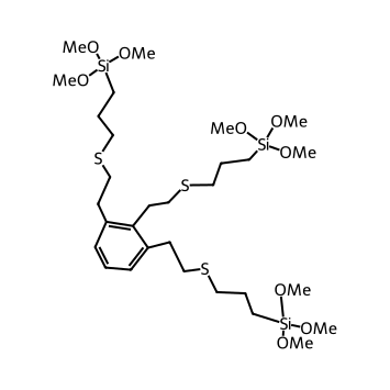 CO[Si](CCCSCCc1cccc(CCSCCC[Si](OC)(OC)OC)c1CCSCCC[Si](OC)(OC)OC)(OC)OC